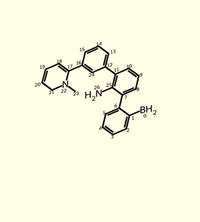 Bc1ccccc1-c1cccc(-c2cccc(C3=CC=CCN3C)c2)c1N